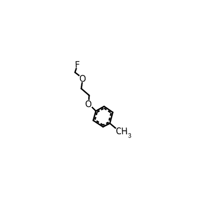 Cc1ccc(OCCOCF)cc1